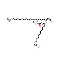 C=C(CCCCCCCCCCCCCCCC)C[C@@H](CCCCCCCCCCC)CC(C)=O